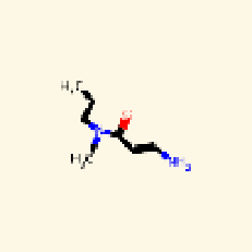 CCCN(C)C(=O)C=CN